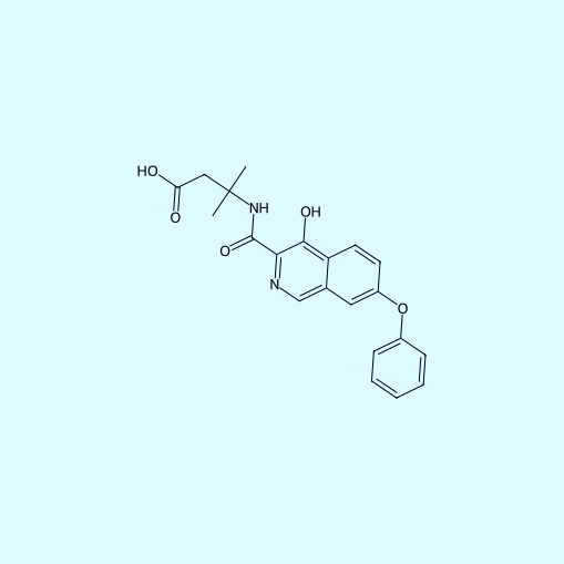 CC(C)(CC(=O)O)NC(=O)c1ncc2cc(Oc3ccccc3)ccc2c1O